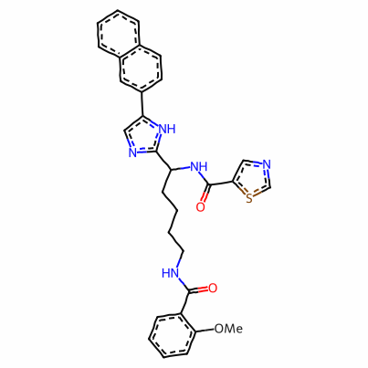 COc1ccccc1C(=O)NCCCCC(NC(=O)c1cncs1)c1ncc(-c2ccc3ccccc3c2)[nH]1